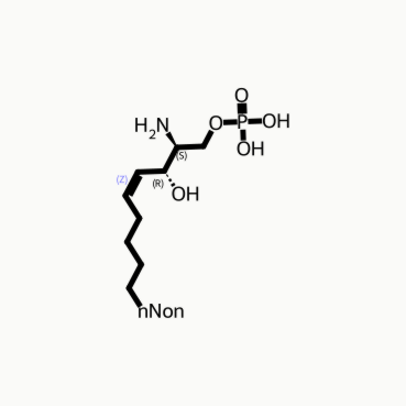 CCCCCCCCCCCCC/C=C\[C@@H](O)[C@@H](N)COP(=O)(O)O